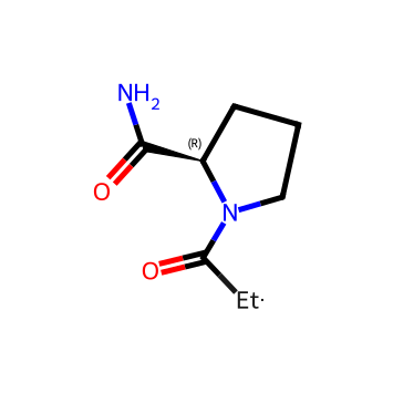 C[CH]C(=O)N1CCC[C@@H]1C(N)=O